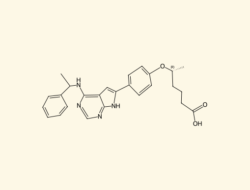 CC(Nc1ncnc2[nH]c(-c3ccc(O[C@H](C)CCCC(=O)O)cc3)cc12)c1ccccc1